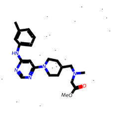 COC(=O)CN(C)CC1CCN(c2cc(Nc3cccc(C)c3)ncn2)CC1